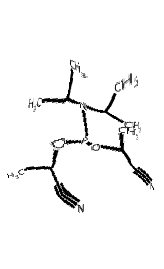 CC(C#N)OP(OC(C)C#N)N(C(C)C)C(C)C